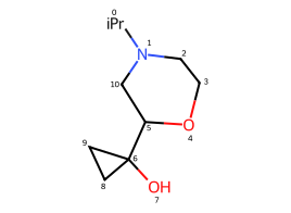 CC(C)N1CCOC(C2(O)CC2)C1